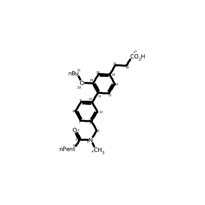 CCCCCC(=O)N(C)Cc1cccc(-c2ccc(CCC(=O)O)cc2OCCCC)c1